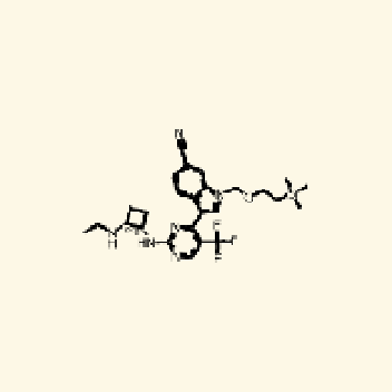 CCN[C@H]1CC[C@@H]1Nc1ncc(C(F)(F)F)c(-c2cn(COCC[Si](C)(C)C)c3cc(C#N)ccc23)n1